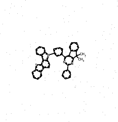 CC1(C)c2ccccc2-c2c(-c3cccc(-n4c5ccccc5c5c6sc7ccccc7c6ccc54)c3)nc(-c3ccccc3)nc21